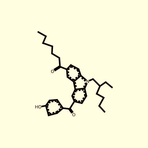 CCCCCCC(=O)c1ccc2c(c1)c1cc(C(=O)c3ccc(O)cc3)ccc1n2CC(CC)CCCC